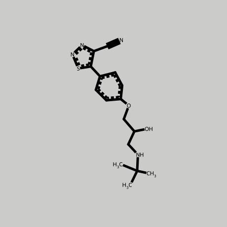 CC(C)(C)NCC(O)COc1ccc(-c2snnc2C#N)cc1